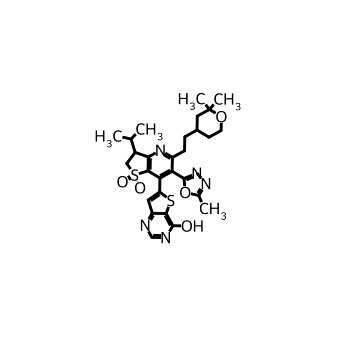 Cc1nnc(-c2c(CCC3CCOC(C)(C)C3)nc3c(c2-c2cc4ncnc(O)c4s2)S(=O)(=O)CC3C(C)C)o1